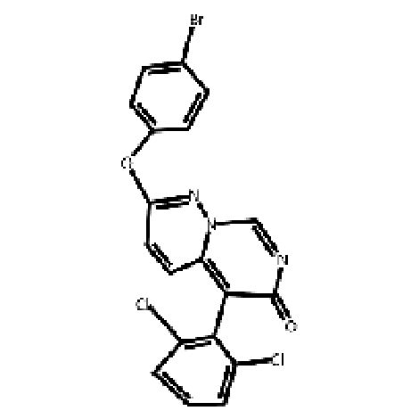 O=c1ncn2nc(Oc3ccc(Br)cc3)ccc2c1-c1c(Cl)cccc1Cl